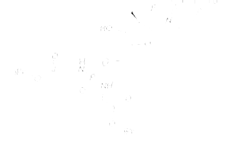 CC(C)OC(=O)CNP(=O)(NCC(=O)OC(C)C)OC[C@H]1O[C@@H](n2ccc(=O)[nH]c2=O)[C@@](C)(F)C1O